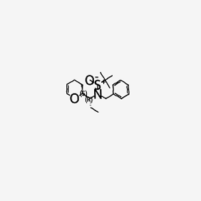 CC[C@H]([C@@H]1CCC=CO1)N(Cc1ccccc1)[S+]([O-])C(C)(C)C